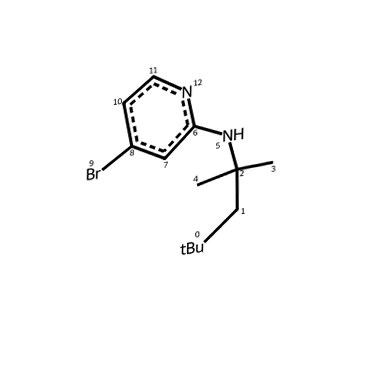 CC(C)(C)CC(C)(C)Nc1cc(Br)ccn1